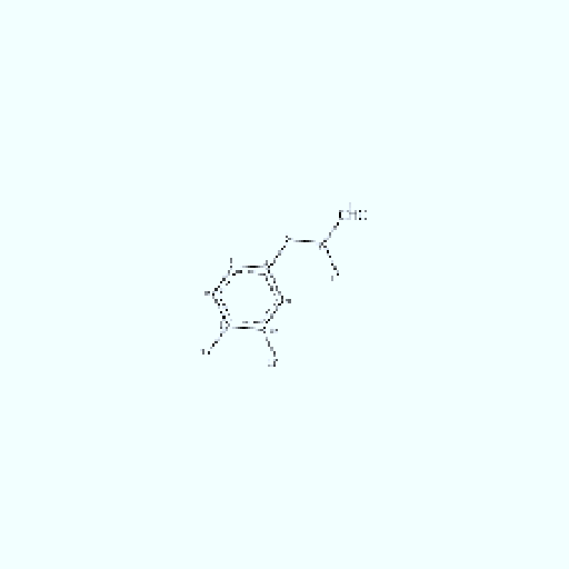 Cc1ccc(CC(C)C=O)cc1C